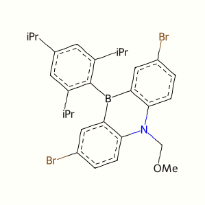 COCN1c2ccc(Br)cc2B(c2c(C(C)C)cc(C(C)C)cc2C(C)C)c2cc(Br)ccc21